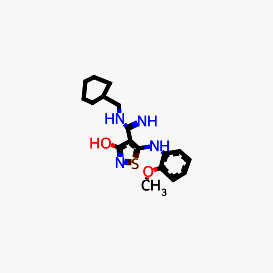 COc1ccccc1Nc1snc(O)c1C(=N)NCC1CCCCC1